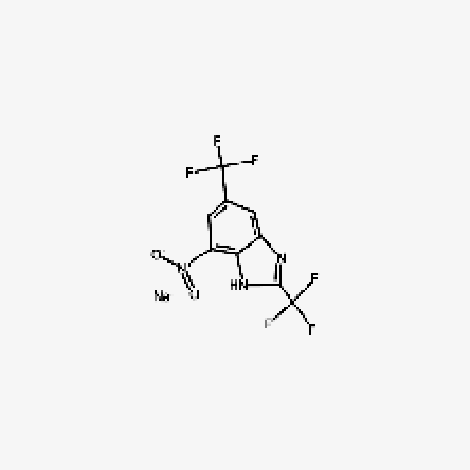 O=[N+]([O-])c1cc(C(F)(F)F)cc2nc(C(F)(F)F)[nH]c12.[Na]